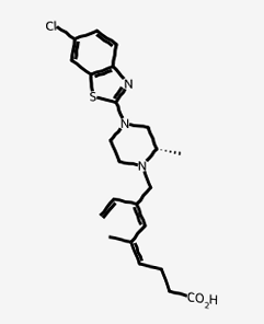 C=C/C(=C\C(C)=C/CCC(=O)O)CN1CCN(c2nc3ccc(Cl)cc3s2)C[C@@H]1C